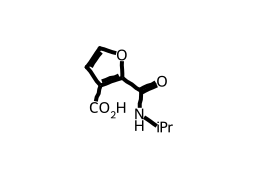 CC(C)NC(=O)c1occc1C(=O)O